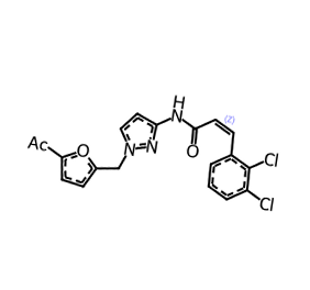 CC(=O)c1ccc(Cn2ccc(NC(=O)/C=C\c3cccc(Cl)c3Cl)n2)o1